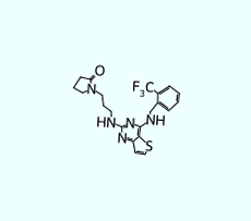 O=C1CCCN1CCCNc1nc(NCc2ccccc2C(F)(F)F)c2sccc2n1